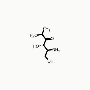 CC(C)C(=O)[C@@H](O)C(N)CO